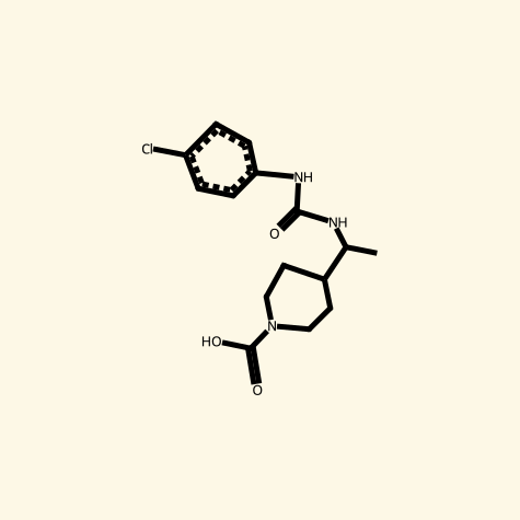 CC(NC(=O)Nc1ccc(Cl)cc1)C1CCN(C(=O)O)CC1